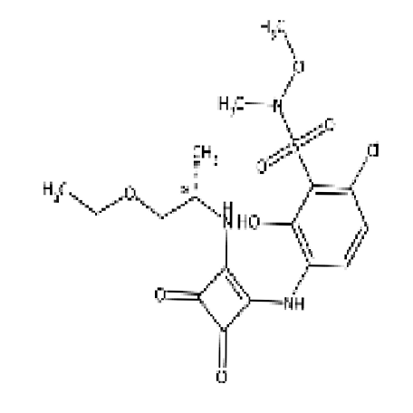 CCOC[C@H](C)Nc1c(Nc2ccc(Cl)c(S(=O)(=O)N(C)OC)c2O)c(=O)c1=O